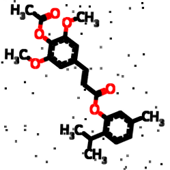 COc1cc(/C=C/C(=O)Oc2cc(C)ccc2C(C)C)cc(OC)c1OC(C)=O